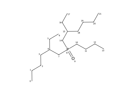 CCCCC(CC)CP(=O)(CCCC)CC(CC)CCCC